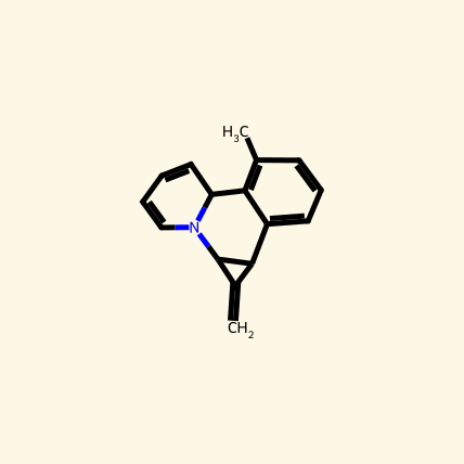 C=C1C2c3cccc(C)c3C3C=CC=CN3C12